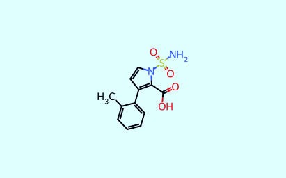 Cc1ccccc1-c1ccn(S(N)(=O)=O)c1C(=O)O